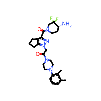 Cc1cccc(N2CCN(C(=O)Cn3nc(C(=O)N4CC[C@@H](N)C(F)(F)C4)c4c3CCC4)CC2)c1C